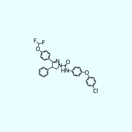 O=C(Nc1ccc(Oc2ccc(Cl)cc2)cc1)N1CC(c2ccccc2)C(c2ccc(OC(F)F)cc2)=N1